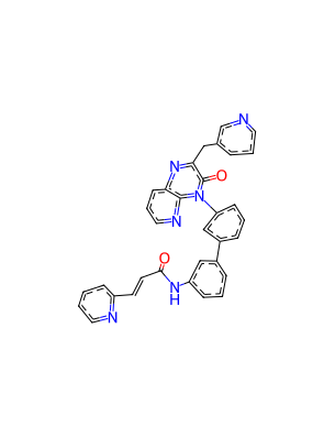 O=C(/C=C/c1ccccn1)Nc1cccc(-c2cccc(-n3c(=O)c(Cc4cccnc4)nc4cccnc43)c2)c1